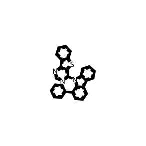 c1ccc(-c2cccc3c4ccccc4n(-c4ncnc5c4sc4ccccc45)c23)cc1